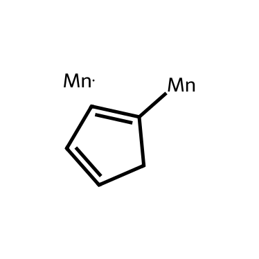 [Mn].[Mn][C]1=CC=CC1